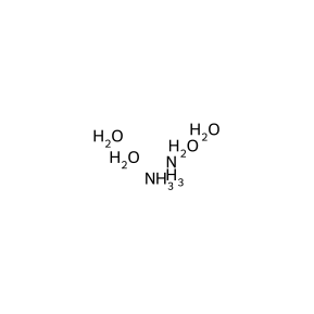 N.N.O.O.O.O